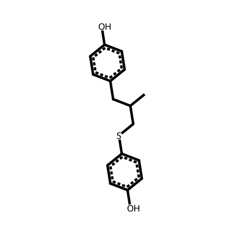 CC(CSc1ccc(O)cc1)Cc1ccc(O)cc1